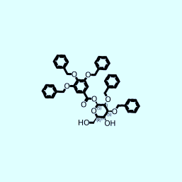 O=C(O[C@@H]1O[C@H](CO)[C@@H](O)[C@H](OCc2ccccc2)[C@H]1OCc1ccccc1)c1cc(OCc2ccccc2)c(OCc2ccccc2)c(OCc2ccccc2)c1